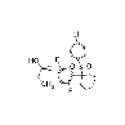 CCC(=O)O.O=S(=O)(c1ccc(Cl)cc1)C1(c2cc(F)ccc2F)CCCCC1